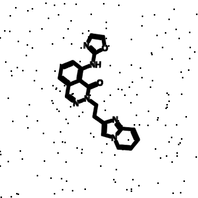 O=c1c2c(Nc3ncco3)cccc2cnn1CCc1cn2ccccc2n1